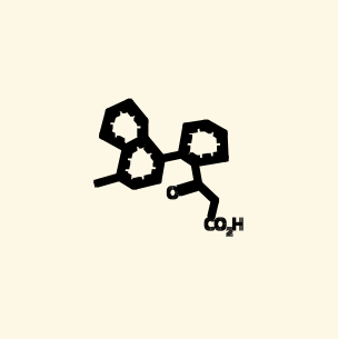 Cc1ccc(-c2ccccc2C(=O)CC(=O)O)c2ccccc12